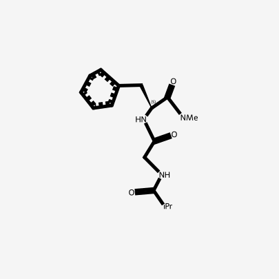 CNC(=O)[C@H](Cc1ccccc1)NC(=O)CNC(=O)C(C)C